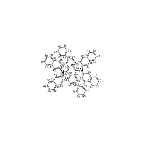 C1=CC2=C(C=CC(N(c3ccc4ccccc4c3)c3c4ccc(-c5ccccc5)cc4c(N(c4ccc5ccccc5c4)c4ccc5ccccc5c4)c4ccc(-c5ccccc5)cc34)C2)CC1